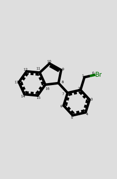 BrCc1ccccc1C1C=Cc2ccccc21